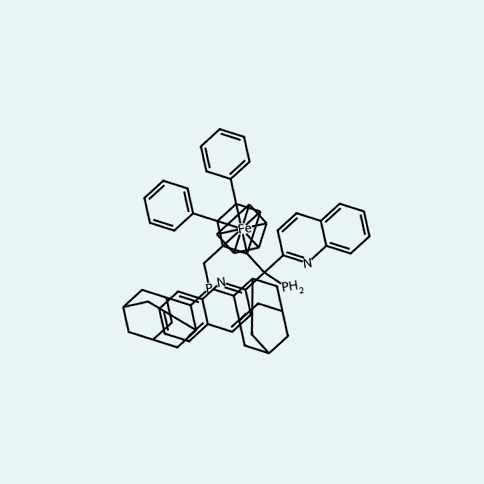 PC(c1ccc2ccccc2n1)(c1ccc2ccccc2n1)[C]12[CH]3[C]4(c5ccccc5)[C]5(c6ccccc6)[C]1(CP(C1C6CC7CC(C6)CC1C7)C1C6CC7CC(C6)CC1C7)[Fe]34521678[CH]2[CH]1[CH]6[CH]7[CH]28